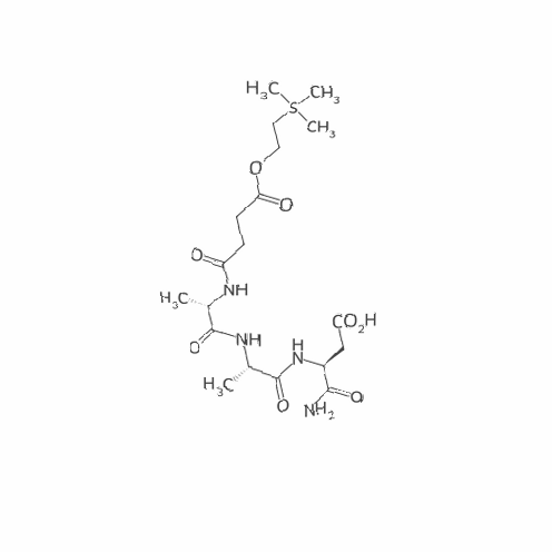 C[C@H](NC(=O)CCC(=O)OCCS(C)(C)C)C(=O)N[C@@H](C)C(=O)N[C@@H](CC(=O)O)C(N)=O